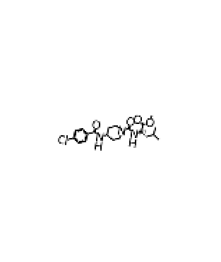 COC(=O)[C@H](CC(C)C)NC(=O)N1CCC(NC(=O)c2ccc(Cl)cc2)CC1